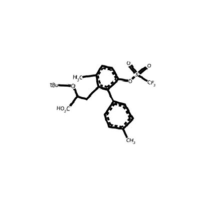 Cc1ccc(-c2c(OS(=O)(=O)C(F)(F)F)ccc(C)c2CC(OC(C)(C)C)C(=O)O)cc1